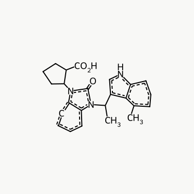 Cc1cccc2[nH]cc(C(C)n3c(=O)n(C4CCCC4C(=O)O)c4ccccc43)c12